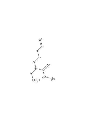 C=CCCCN(CC(=O)O)C(=O)OC(C)(C)C